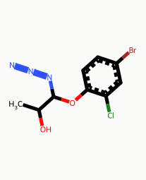 CC(O)C(N=[N+]=[N-])Oc1ccc(Br)cc1Cl